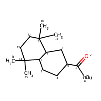 CCCCC(=O)C1CCC2C(C1)C(C)(C)CCC2(C)C